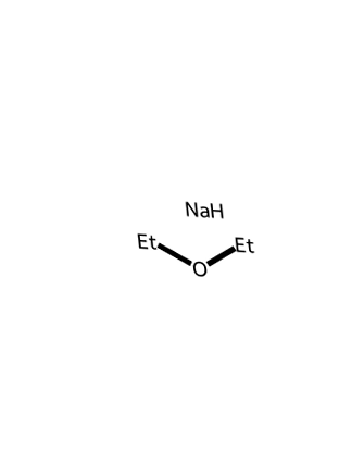 CCOCC.[NaH]